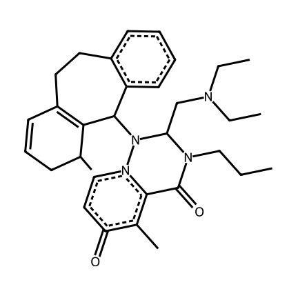 CCCN1C(=O)c2c(C)c(=O)ccn2N(C2C3=C(C=CCC3C)CCc3ccccc32)C1CN(CC)CC